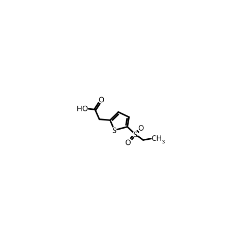 CCS(=O)(=O)c1ccc(CC(=O)O)s1